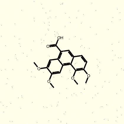 COc1cc2c(C(=O)O)cc3ccc(OC)c(OC)c3c2cc1OC